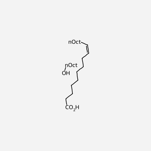 CCCCCCCC/C=C\CCCCCCCC(=O)O.CCCCCCCCO